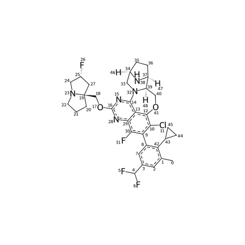 Cc1cc(C(F)F)cc(-c2c(Cl)c3c4c(nc(OC[C@@]56CCCN5C[C@H](F)C6)nc4c2F)N2C[C@H]4CC[C@H](N4)[C@H]2CO3)c1C1CC1